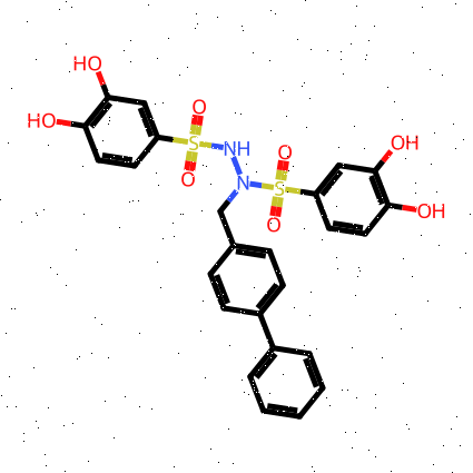 O=S(=O)(NN(Cc1ccc(-c2ccccc2)cc1)S(=O)(=O)c1ccc(O)c(O)c1)c1ccc(O)c(O)c1